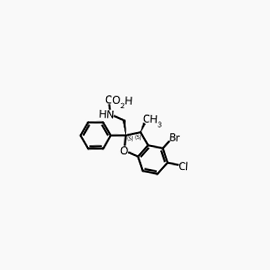 C[C@H]1c2c(ccc(Cl)c2Br)O[C@]1(CNC(=O)O)c1ccccc1